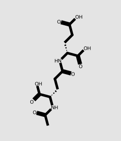 CC(=O)N[C@@H](CCC(=O)N[C@H](CCC(=O)O)C(=O)O)C(=O)O